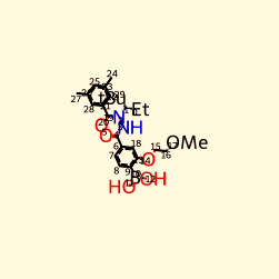 CC[C@@H](N(NC(=O)c1ccc(B(O)O)c(OCCOC)c1)C(=O)c1cc(C)cc(C)c1)C(C)(C)C